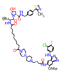 COc1cc2ncnc(Nc3ccc(F)c(Cl)c3)c2cc1NC(=O)CCCN1CCC(N2CCN(C(=O)CCCCCCCCC(=O)N[C@H](C(=O)N3C[C@H](O)C[C@H]3C(=O)NCc3ccc(-c4scnc4C)cc3)C(C)(C)C)CC2)CC1